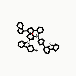 Fc1ccc2c3ccccc3n(-c3cccc(N(c4ccc(-c5cccc6c5sc5ccccc56)cc4)c4ccccc4-c4ccc(-c5cccc6ccccc56)cc4)c3)c2c1